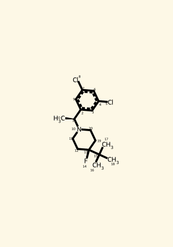 C[C@@H](c1cc(Cl)cc(Cl)c1)N1CCC(F)(C(C)(C)C)CC1